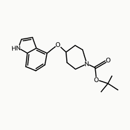 CC(C)(C)OC(=O)N1CCC(Oc2cccc3[nH]ccc23)CC1